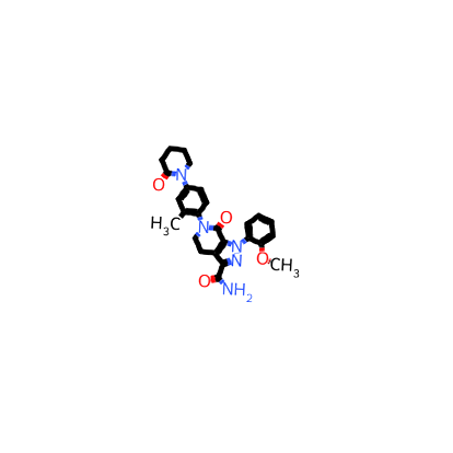 COc1ccccc1-n1nc(C(N)=O)c2c1C(=O)N(c1ccc(N3CCCCC3=O)cc1C)CC2